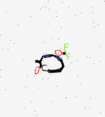 C=C1/C=C\C(OC(F)F)=C/CCCCC1=O